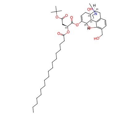 CCCCCCCCCCCCCCCCCC(=O)O[C@@H](CC(=O)OC(C)(C)C)C(=O)OC1=CC[C@@]2(O)[C@H]3Cc4ccc(CO)c5c4[C@@]2(CCN3C)[C@H]1O5